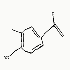 C=C(F)c1ccc(Br)c(C)c1